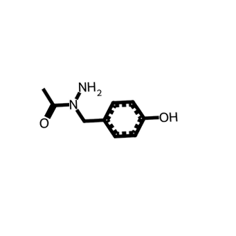 CC(=O)N(N)Cc1ccc(O)cc1